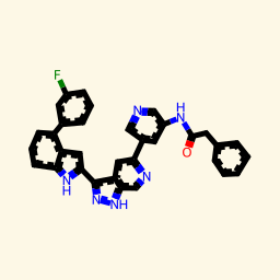 O=C(Cc1ccccc1)Nc1cncc(-c2cc3c(-c4cc5c(-c6cccc(F)c6)cccc5[nH]4)n[nH]c3cn2)c1